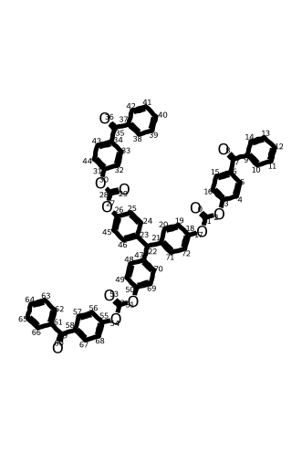 O=C(Oc1ccc(C(=O)c2ccccc2)cc1)Oc1ccc(C(c2ccc(OC(=O)Oc3ccc(C(=O)c4ccccc4)cc3)cc2)c2ccc(OC(=O)Oc3ccc(C(=O)c4ccccc4)cc3)cc2)cc1